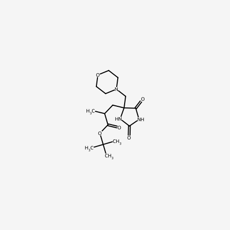 CC(CC1(CN2CCOCC2)NC(=O)NC1=O)C(=O)OC(C)(C)C